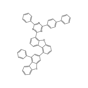 c1ccc(-c2ccc(-c3nc(-c4ccccc4)nc(-c4cccc5c4oc4cccc(-c6cc(-c7ccccc7)c7c(c6)sc6ccccc67)c45)n3)cc2)cc1